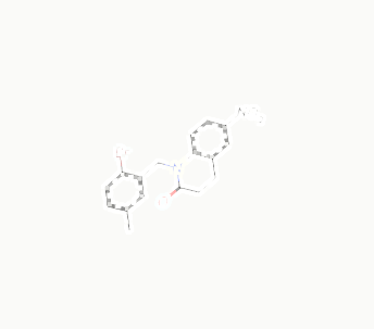 Cc1ccc(Br)c(CN2C(=O)CCc3cc([N+](=O)[O-])ccc32)c1